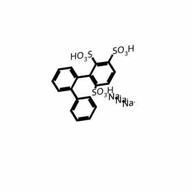 O=S(=O)(O)c1ccc(S(=O)(=O)O)c(S(=O)(=O)O)c1-c1ccccc1-c1ccccc1.[Na].[Na].[Na]